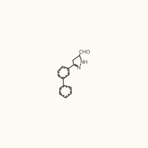 O=CC1CC(c2cccc(-c3ccccc3)c2)=NN1